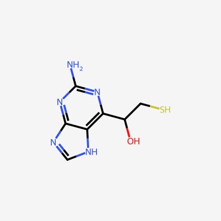 Nc1nc(C(O)CS)c2[nH]cnc2n1